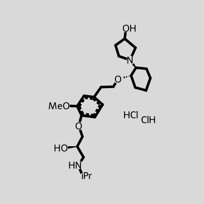 COc1cc(CCO[C@H]2CCCC[C@@H]2N2CCC(O)C2)ccc1OC[C@H](O)CNC(C)C.Cl.Cl